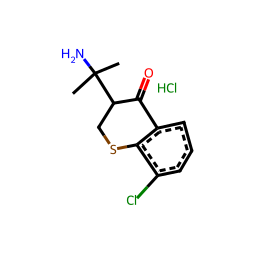 CC(C)(N)C1CSc2c(Cl)cccc2C1=O.Cl